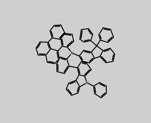 c1ccc(-c2cccc3cccc(-c4ccccc4N(c4ccc5c(c4)C(c4ccccc4)(c4ccccc4)c4ccccc4-5)c4ccccc4-c4cccc5c4c4ccccc4n5-c4ccccc4)c23)cc1